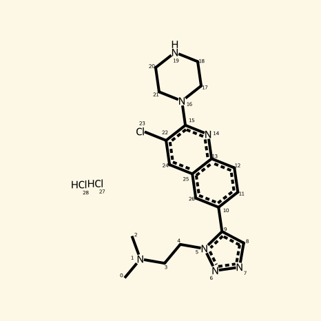 CN(C)CCn1nncc1-c1ccc2nc(N3CCNCC3)c(Cl)cc2c1.Cl.Cl